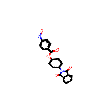 O=Nc1ccc(C(=O)OC2CCC(N3C(=O)c4ccccc4C3=O)CC2)cc1